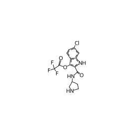 O=C(NC1CCNC1)c1[nH]c2cc(Cl)ccc2c1OC(=O)C(F)(F)F